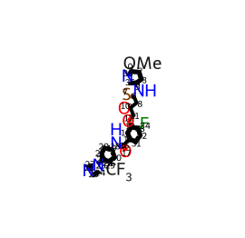 COc1ccc(NC(=S)CC(=O)COc2cc(C(=O)Nc3ccc(-n4ccnc4)c(C(F)(F)F)c3)ccc2F)cn1